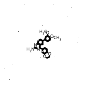 COc1ccc(-c2ccc3nc(N)nc(-c4ccc5c(c4)OCCO5)c3c2)cc1OC